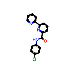 O=C(Nc1ccc(Cl)cc1)c1cccc(-c2ccccn2)n1